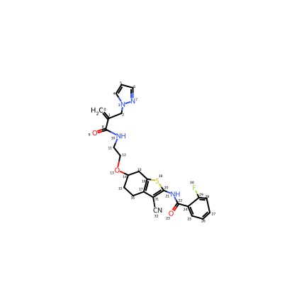 C=C(Cn1cccn1)C(=O)NCCOC1CCc2c(sc(NC(=O)c3ccccc3F)c2C#N)C1